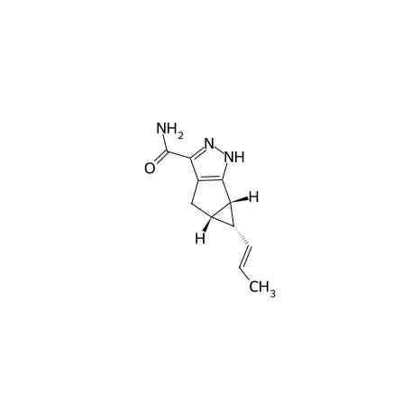 CC=C[C@@H]1[C@@H]2Cc3c(C(N)=O)n[nH]c3[C@H]12